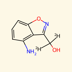 [2H]C([2H])(O)c1noc2cccc(N)c12